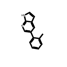 Cc1ccccc1-c1cnc2[nH]ccc2c1